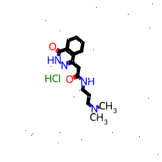 CN(C)CCCNC(=O)Cc1n[nH]c(=O)c2c1CCCC2.Cl